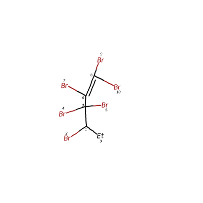 CCC(Br)C(Br)(Br)C(Br)=C(Br)Br